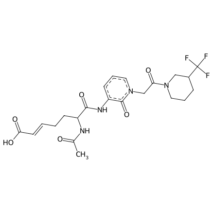 CC(=O)NC(CCC=CC(=O)O)C(=O)Nc1cccn(CC(=O)N2CCCC(C(F)(F)F)C2)c1=O